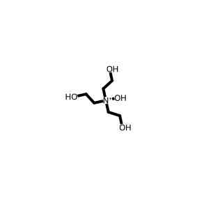 OCC[N+](O)(CCO)CCO